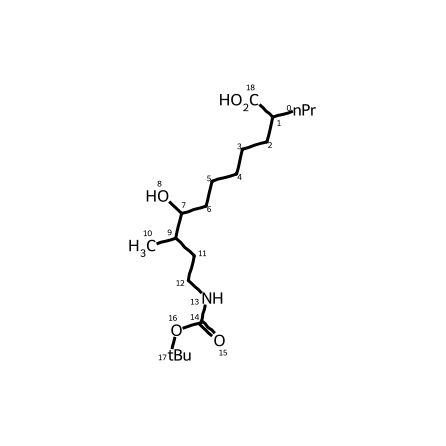 CCCC(CCCCCC(O)C(C)CCNC(=O)OC(C)(C)C)C(=O)O